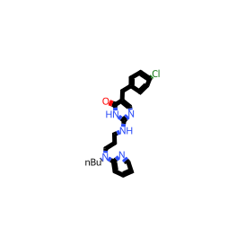 CCCCN(CCCNc1ncc(Cc2ccc(Cl)cc2)c(=O)[nH]1)c1ccccn1